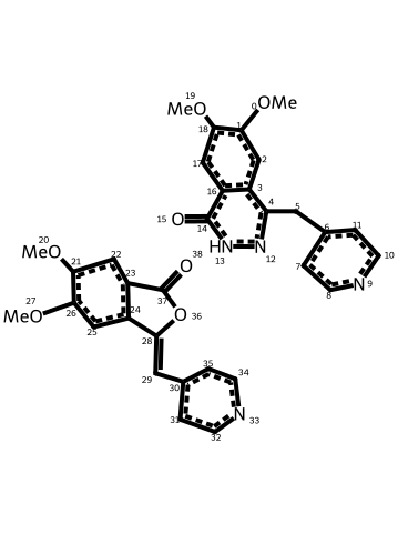 COc1cc2c(Cc3ccncc3)n[nH]c(=O)c2cc1OC.COc1cc2c(cc1OC)C(=Cc1ccncc1)OC2=O